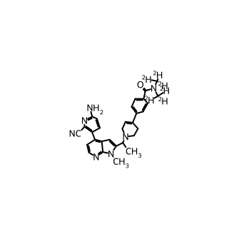 [2H]C([2H])([2H])N(C(=O)c1ccc(C2=CCN(C(C)c3cc4c(-c5ccc(N)nc5C#N)ccnc4n3C)CC2)cc1)C([2H])([2H])[2H]